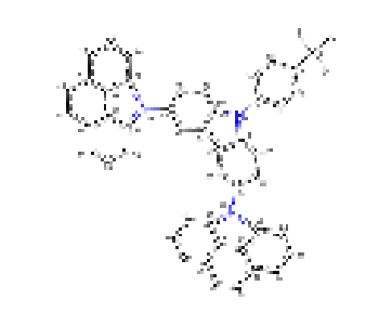 CC(C)(C)c1ccc(-n2c3ccc(-n4c5cccc6ccc7cccc4c7c65)cc3c3cc(-n4c5cccc6ccc7cccc4c7c65)ccc32)cc1